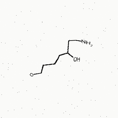 NCC(O)CCCC[O]